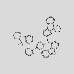 CC1(C)c2ccccc2-c2cccc(-c3ccccc3-c3ccc(N(c4ccc5c(c4)C4(CCCC4)c4ccccc4-5)c4cccc5oc6ccccc6c45)cc3)c21